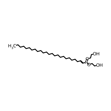 CCCCCCCCCCCCCCCCCCCCCCCC=CN(OCCO)OCCO